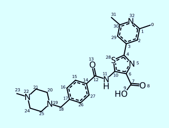 Cc1cc(-c2nc(C(=O)O)c(NC(=O)c3ccc(CN4CCN(C)CC4)cc3)s2)cc(C)n1